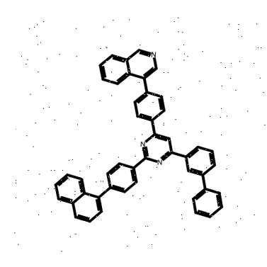 c1ccc(-c2cccc(-c3cc(-c4ccc(-c5cncc6ccccc56)cc4)nc(-c4ccc(-c5cccc6ccccc56)cc4)n3)c2)cc1